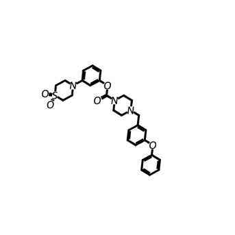 O=C(Oc1cccc(N2CCS(=O)(=O)CC2)c1)N1CCN(Cc2cccc(Oc3ccccc3)c2)CC1